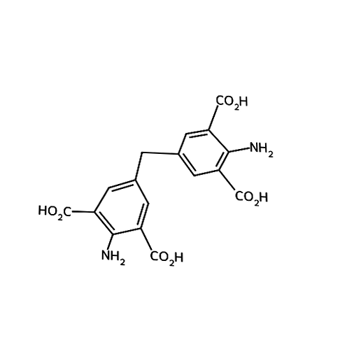 Nc1c(C(=O)O)cc(Cc2cc(C(=O)O)c(N)c(C(=O)O)c2)cc1C(=O)O